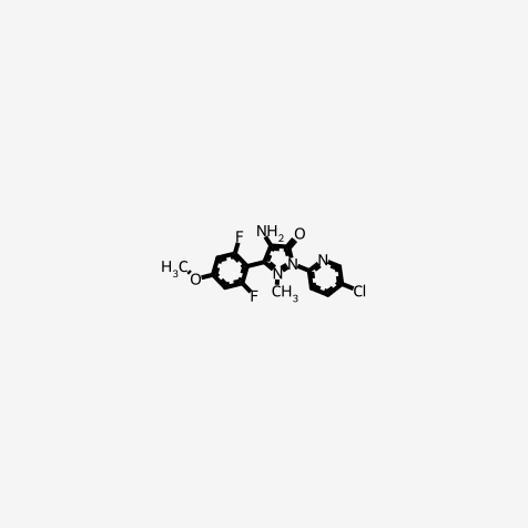 COc1cc(F)c(-c2c(N)c(=O)n(-c3ccc(Cl)cn3)n2C)c(F)c1